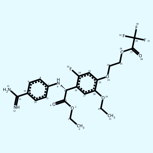 CCOC(=O)[C@H](Nc1ccc(C(=N)N)cc1)c1cc(OCC)c(OCCOC(=O)C(F)(F)F)cc1F